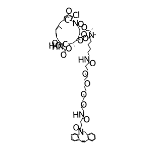 COc1cc2cc(c1Cl)N(C)C(=O)C[C@H](OC(=O)[C@H](C)N(C)C(=O)CCCCCNC(=O)CCOCCOCCOCCOCCNC(=O)CCC(=O)N1Cc3ccccc3C#Cc3ccccc31)[C@]1(C)OC1[C@H](C)C1C[C@@](O)(NC(=O)O1)[C@H](OC)/C=C/C=C(\C)C2